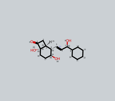 O=C1C[C@H]2[C@H](/C=C/[C@@H](O)C3CCCCC3)[C@@H](O)CC[C@@]12O